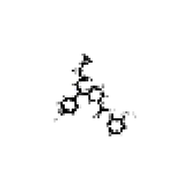 Nc1ccccc1NC(=O)c1cccc(/C(=C\C(=O)NC2CC2)c2ccc(F)cc2)c1